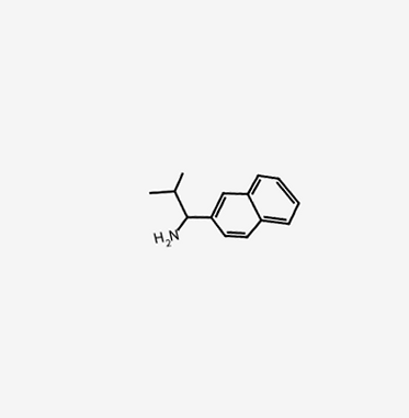 CC(C)C(N)c1ccc2ccccc2c1